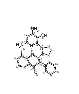 N#Cc1c(N)nc(N)nc1N1CCCC1c1nc2c(I)cccc2c(=O)n1-c1ccccc1